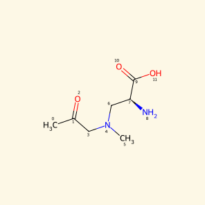 CC(=O)CN(C)C[C@H](N)C(=O)O